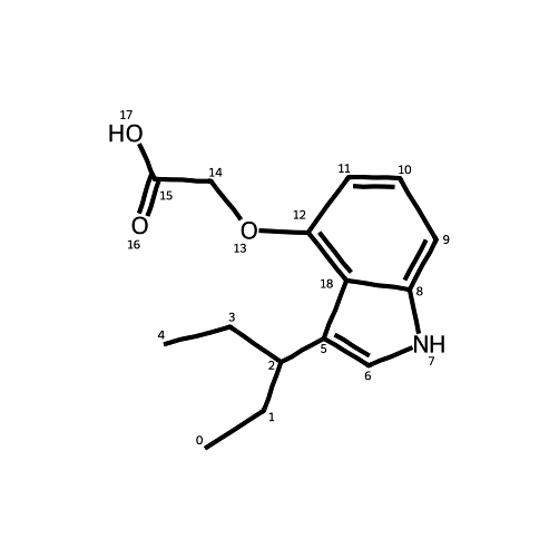 CCC(CC)c1c[nH]c2cccc(OCC(=O)O)c12